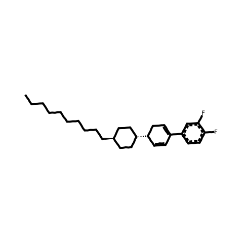 CCCCCCCCCC[C@H]1CC[C@H](C2C=CC(c3ccc(F)c(F)c3)=CC2)CC1